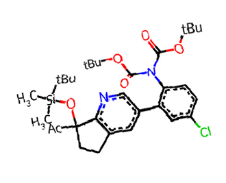 CC(=O)C1(O[Si](C)(C)C(C)(C)C)CCc2cc(-c3cc(Cl)ccc3N(C(=O)OC(C)(C)C)C(=O)OC(C)(C)C)cnc21